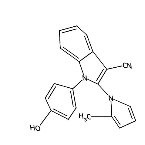 Cc1cccn1-c1c(C#N)c2ccccc2n1-c1ccc(O)cc1